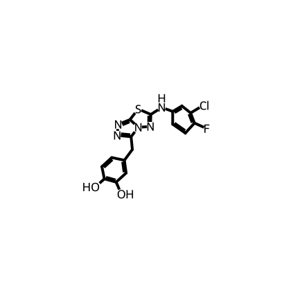 Oc1ccc(Cc2nnc3sc(Nc4ccc(F)c(Cl)c4)nn23)cc1O